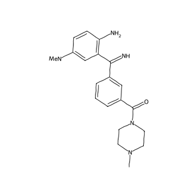 CNc1ccc(N)c(C(=N)c2cccc(C(=O)N3CCN(C)CC3)c2)c1